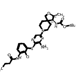 C[C@@H]1OCC2(CCN(c3cnc(Sc4cccc(NC(=O)CCC(=O)O)c4Cl)c(N)n3)CC2)[C@@H]1NC(=O)OC(C)(C)C